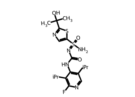 CC(C)c1cnc(F)c(C(C)C)c1NC(=O)N=S(N)(=O)c1cnc(C(C)(C)O)s1